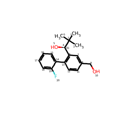 CC(C)(C)[C@H](O)c1cc(CO)ccc1-c1ccccc1F